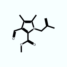 C=C(C)Cn1c(C)c(C)c(C=O)c1C(=O)OC